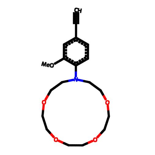 C#Cc1ccc(N2CCOCCOCCOCCOCC2)c(OC)c1